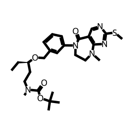 CC[C@H](CCN(C)C(=O)OC(C)(C)C)OCc1cccc(N2CCN(C)c3nc(SC)ncc3C2=O)c1